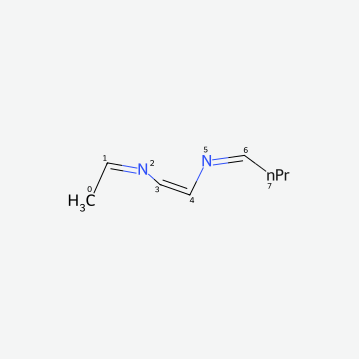 C\C=N/C=C\N=C/CCC